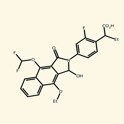 CCOc1c2c(c(OC(F)F)c3ccccc13)C(=O)N(c1ccc(C(CC)C(=O)O)c(F)c1)C2O